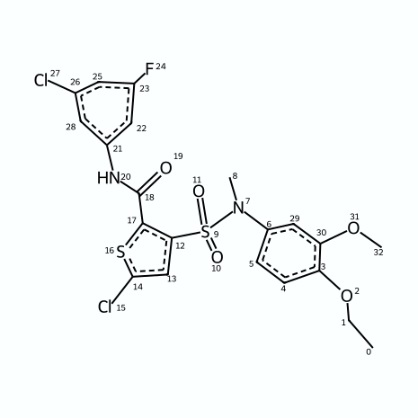 CCOc1ccc(N(C)S(=O)(=O)c2cc(Cl)sc2C(=O)Nc2cc(F)cc(Cl)c2)cc1OC